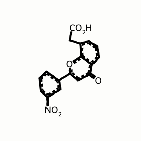 O=C(O)Cc1cccc2c(=O)cc(-c3cccc([N+](=O)[O-])c3)oc12